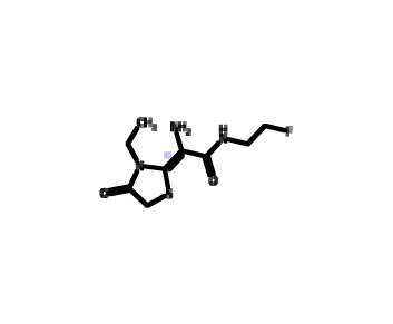 CCN1C(=O)CS/C1=C(/N)C(=O)NCCF